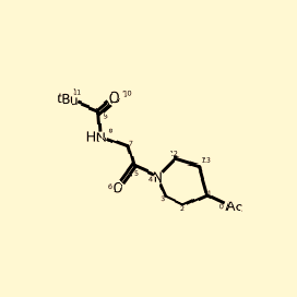 CC(=O)C1CCN(C(=O)CNC(=O)C(C)(C)C)CC1